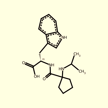 CC(C)NC1(C(=O)N[C@@H](Cc2c[nH]c3ccccc23)C(=O)O)CCCC1